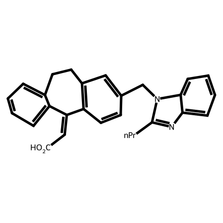 CCCc1nc2ccccc2n1Cc1ccc2c(c1)CCc1ccccc1/C2=C\C(=O)O